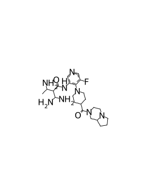 CC(N)C(C(=O)Nc1cncc(F)c1N1CCC(C(=O)N2CCN3CCCC3C2)CC1)C(N)N